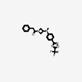 CN(c1ccc(-c2noc(C(F)(F)F)n2)cc1)C1CN(C(=O)Cc2ccccc2)C1